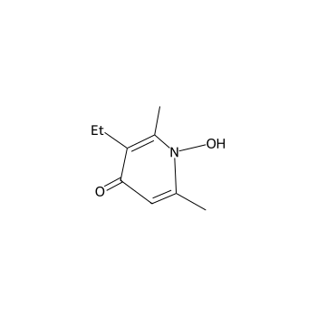 CCc1c(C)n(O)c(C)cc1=O